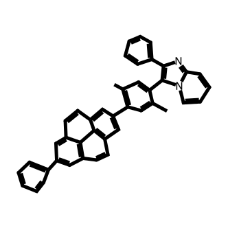 Cc1cc(-c2c(-c3ccccc3)nc3ccccn23)c(C)cc1-c1cc2ccc3cc(-c4ccccc4)cc4ccc(c1)c2c34